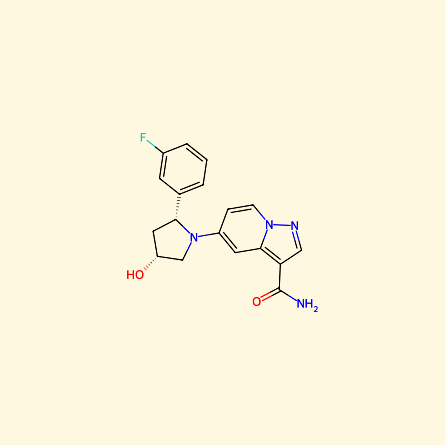 NC(=O)c1cnn2ccc(N3C[C@H](O)C[C@@H]3c3cccc(F)c3)cc12